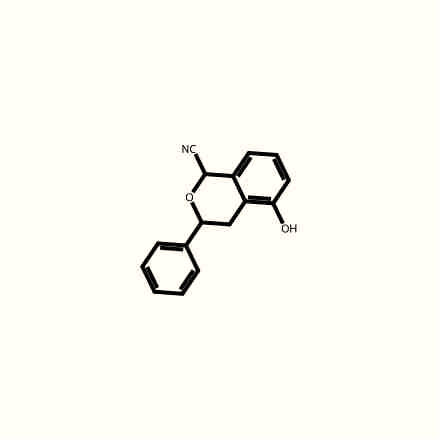 N#CC1OC(c2ccccc2)Cc2c(O)cccc21